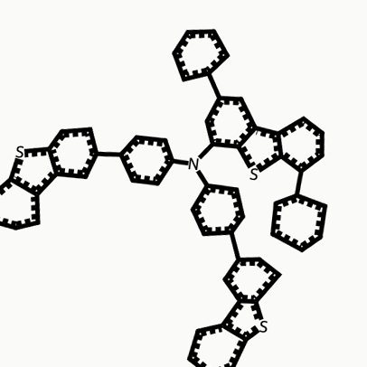 c1ccc(-c2cc(N(c3ccc(-c4ccc5sc6ccccc6c5c4)cc3)c3ccc(-c4ccc5sc6ccccc6c5c4)cc3)c3sc4c(-c5ccccc5)cccc4c3c2)cc1